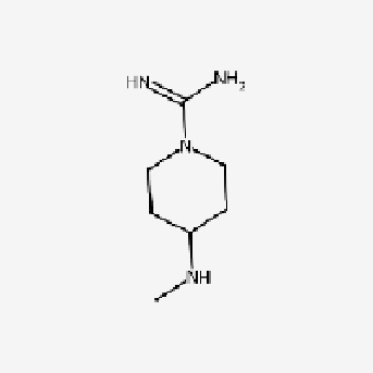 CNC1CCN(C(=N)N)CC1